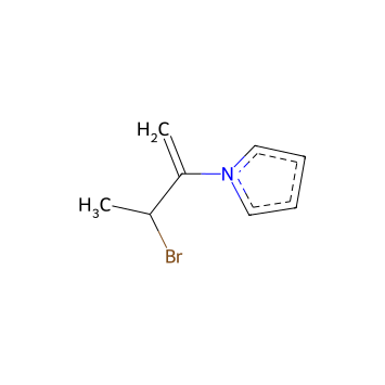 C=C(C(C)Br)n1cccc1